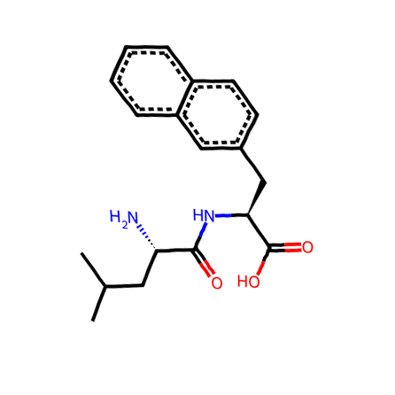 CC(C)C[C@H](N)C(=O)N[C@@H](Cc1ccc2ccccc2c1)C(=O)O